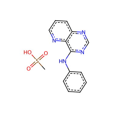 CS(=O)(=O)O.c1ccc(Nc2ncnc3cccnc23)cc1